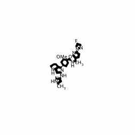 CO[C@]1(C(=O)N[C@@H](C)c2ccc(-n3cc(F)cn3)nc2)CC[C@H](c2nc(Nc3cc(C)[nH]n3)cc3c2CCCN3)CC1